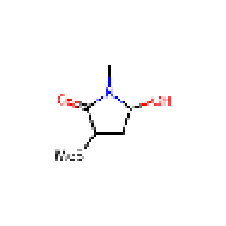 CSC1CC(O)N(C)C1=O